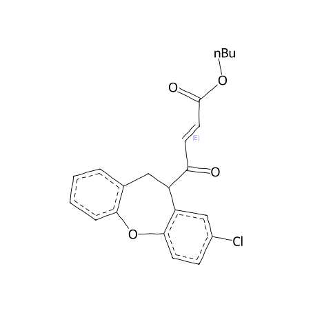 CCCCOC(=O)/C=C/C(=O)C1Cc2ccccc2Oc2ccc(Cl)cc21